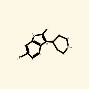 Cc1sc2cc(F)ccc2c1C1CC[N]CC1